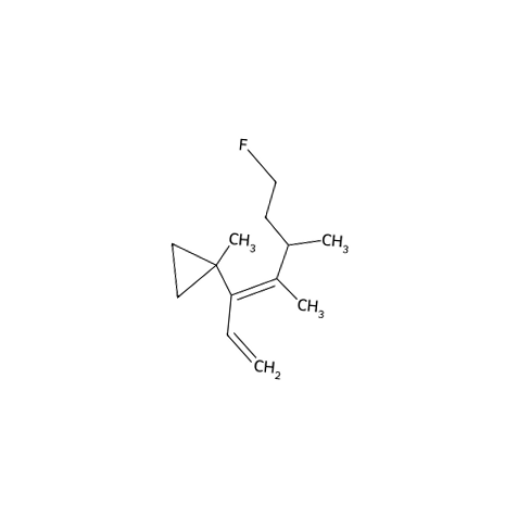 C=C/C(=C(\C)C(C)CCF)C1(C)CC1